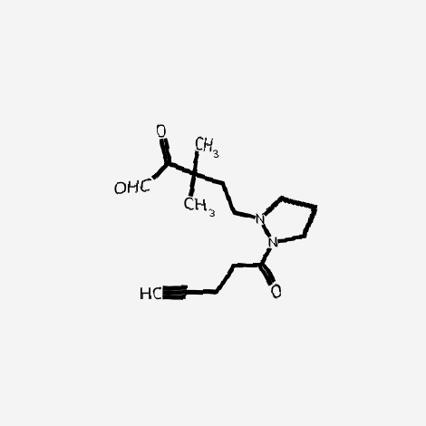 C#CCCC(=O)N1CCCN1CCC(C)(C)C(=O)C=O